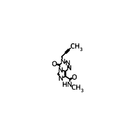 CC#CCn1nnc2c(C(=O)NC)ncn2c1=O